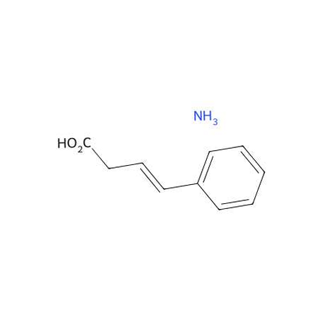 N.O=C(O)CC=Cc1ccccc1